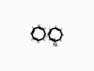 C1=CC=CCCC=C1.C1=CC=CCCC=C1.[Ni]